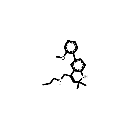 CCCNCC1=CC(C)(C)Nc2ccc(-c3ccccc3OC)cc21